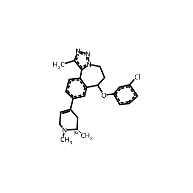 Cc1nnn2c1-c1ccc(C3=CCN(C)[C@@H](C)C3)cc1C(Oc1cccc(Cl)c1)CC2